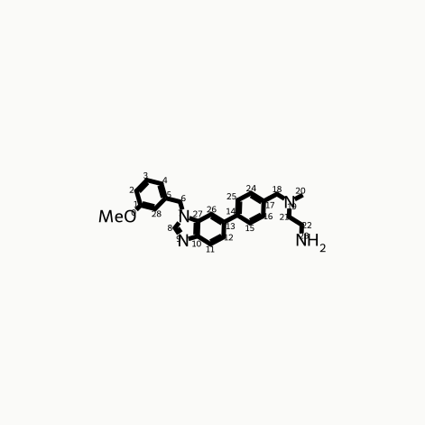 COc1cccc(Cn2cnc3ccc(-c4ccc(CN(C)CCN)cc4)cc32)c1